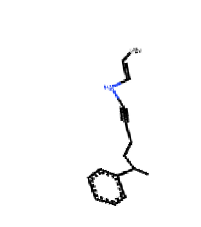 CCCC/C=C/NC#CCCC(C)c1ccccc1